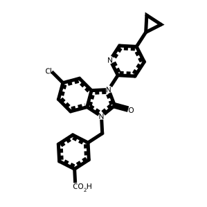 O=C(O)c1cccc(Cn2c(=O)n(-c3ccc(C4CC4)cn3)c3cc(Cl)ccc32)c1